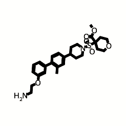 COC(=O)C1(S(=O)(=O)N2CCC(c3ccc(-c4cccc(OCCN)c4)c(C)c3)CC2)CCOCC1